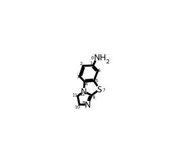 Nc1ccc2c(c1)SC1=NCCN12